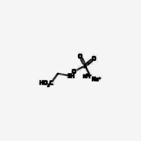 CCCS(=O)(=O)[O-].O=C(O)CS.[Na+]